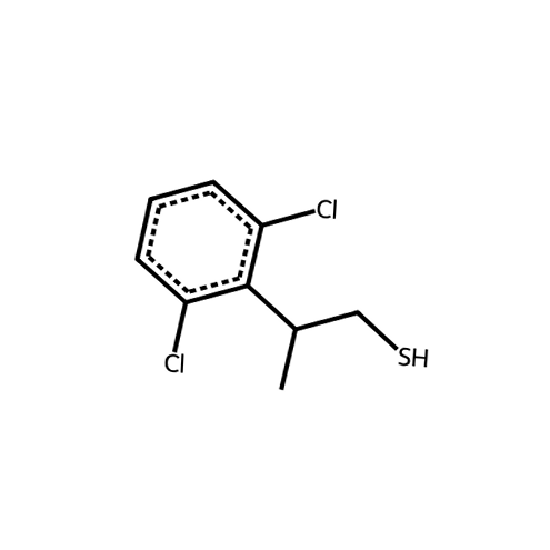 CC(CS)c1c(Cl)cccc1Cl